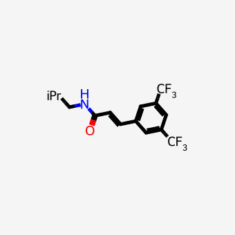 CC(C)CNC(=O)/C=C/c1cc(C(F)(F)F)cc(C(F)(F)F)c1